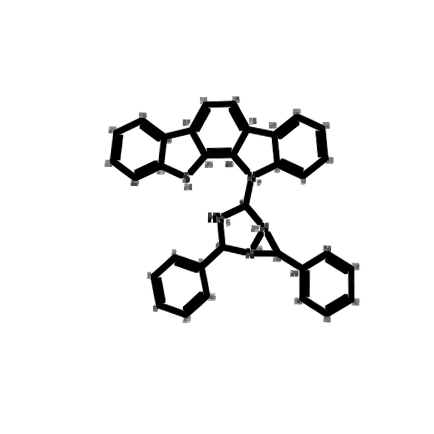 c1ccc(C2NC(n3c4ccccc4c4ccc5c6ccccc6sc5c43)N3C(c4ccccc4)N23)cc1